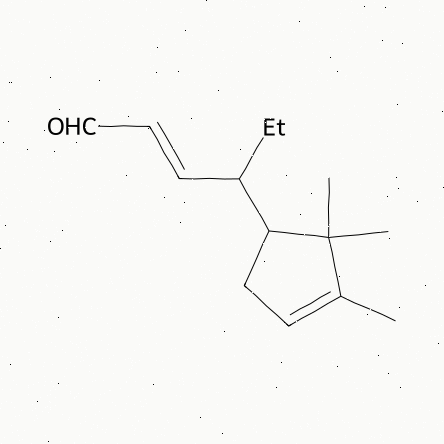 CCC(C=CC=O)C1CC=C(C)C1(C)C